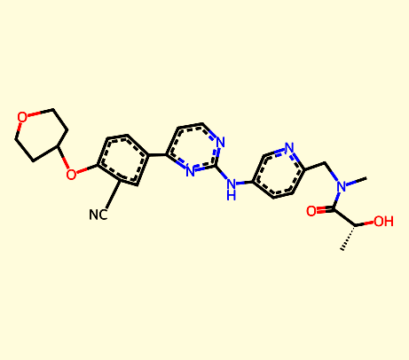 C[C@@H](O)C(=O)N(C)Cc1ccc(Nc2nccc(-c3ccc(OC4CCOCC4)c(C#N)c3)n2)cn1